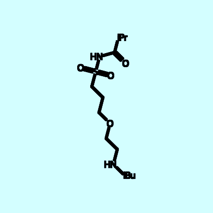 CCC(C)NCCOCCCS(=O)(=O)NC(=O)C(C)C